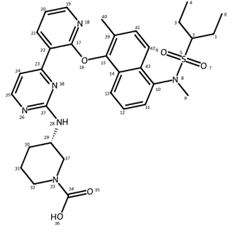 CCC(CC)S(=O)(=O)N(C)c1cccc2c(Oc3ncccc3-c3ccnc(N[C@H]4CCCN(C(=O)O)C4)n3)c(C)ccc12